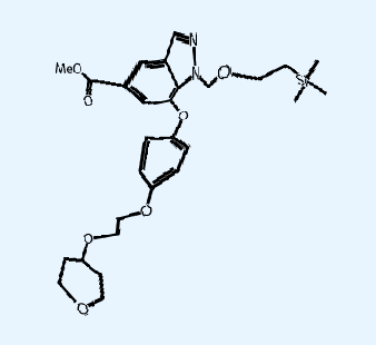 COC(=O)c1cc(Oc2ccc(OCCOC3CCOCC3)cc2)c2c(cnn2COCC[Si](C)(C)C)c1